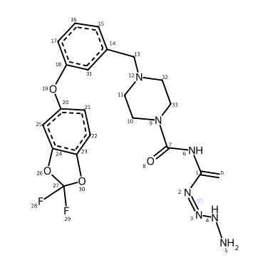 C=C(/N=N\NN)NC(=O)N1CCN(Cc2cccc(Oc3ccc4c(c3)OC(F)(F)O4)c2)CC1